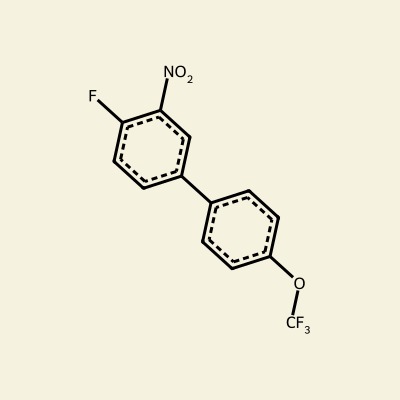 O=[N+]([O-])c1cc(-c2ccc(OC(F)(F)F)cc2)ccc1F